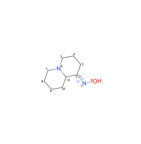 O/N=C1\CCCN2CCCCC12